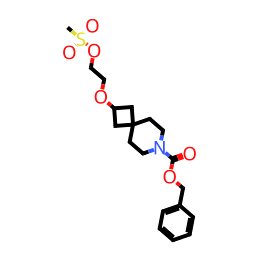 CS(=O)(=O)OCCOC1CC2(CCN(C(=O)OCc3ccccc3)CC2)C1